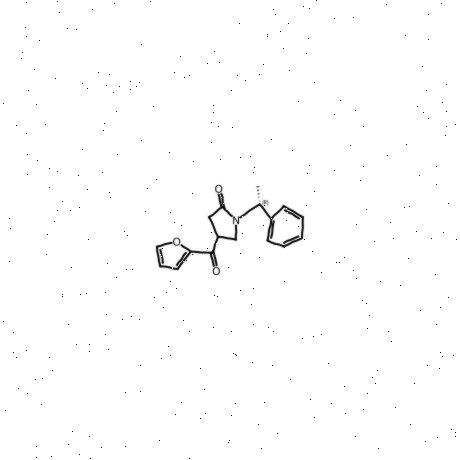 C[C@H](c1ccccc1)N1CC(C(=O)c2ccco2)CC1=O